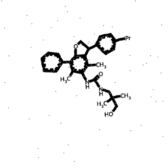 Cc1c(NC(=O)NCC(C)(C)CO)c(C)c2c(c1-c1ccccc1)OCC2c1ccc(C(C)C)cc1